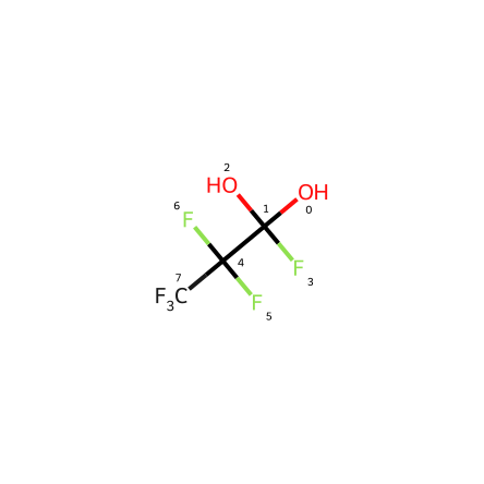 OC(O)(F)C(F)(F)C(F)(F)F